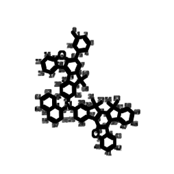 Cc1cccc(-c2cc3c(c4c2oc2ccccc24)-c2ccc(N(c4ccc5c(c4)C(C)(C)c4c6c(c7c(oc8ccccc87)c4-5)-c4ccccc4C6(C)C)c4cccc5ccccc45)cc2C3(C)C)c1